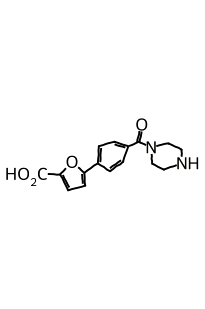 O=C(O)c1ccc(-c2ccc(C(=O)N3CCNCC3)cc2)o1